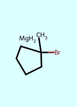 CC1(Br)CCCC1.[MgH2]